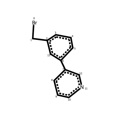 BrCc1cccc(-c2cccnc2)c1